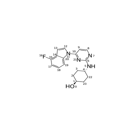 O[C@H]1CC[C@H](Nc2nccc(-n3ccc4c(F)cccc43)n2)CC1